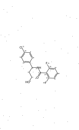 O=C(NC(CCO)c1ccc(Cl)cc1)c1c(F)cccc1F